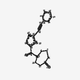 O=C1CCCN(C(=O)c2cnc(C#Cc3ccccc3)s2)CC1